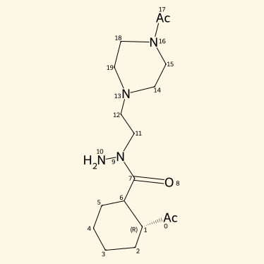 CC(=O)[C@@H]1CCCCC1C(=O)N(N)CCN1CCN(C(C)=O)CC1